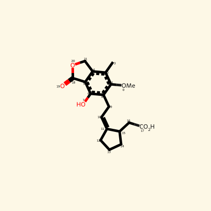 COc1c(C)c2c(c(O)c1C/C=C1/CCCC1CC(=O)O)C(=O)OC2